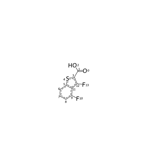 O=C(O)c1sc2cccc(F)c2c1F